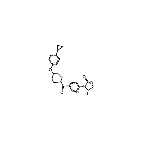 C[C@@H]1COC(=O)N1c1ccc(C(=O)N2CCC(Oc3ccc(C4CC4)cc3)CC2)cn1